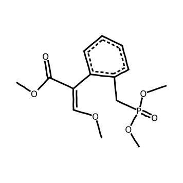 CO/C=C(/C(=O)OC)c1ccccc1CP(=O)(OC)OC